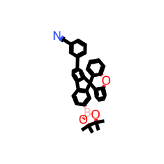 CC1(C)OB(c2ccc3c(c2)C2(c4ccccc4Oc4ccccc42)c2cc(-c4cccc(C#N)c4)ccc2-3)OC1(C)C